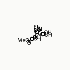 CCn1ncc2c(NC3CCS(O)(O)CC3)c(C3=NOC4(CCC(C(=O)OC)CC4)C3)cnc21